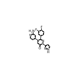 Nc1cc(-c2cc(=O)n(-c3cc[nH]n3)nc2-c2ccc(F)c(F)c2)ccn1